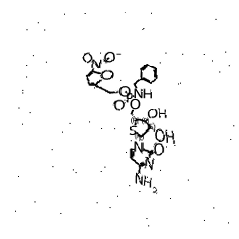 Nc1ccn([C@@H]2S[C@H](COP(=O)(NCc3ccccc3)OCc3ccc([N+](=O)[O-])o3)[C@@H](O)[C@@H]2O)c(=O)n1